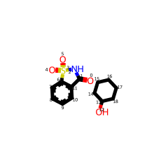 O=C1NS(=O)(=O)c2ccccc21.OC1CCCCC1